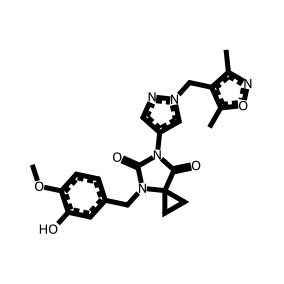 COc1ccc(CN2C(=O)N(c3cnn(Cc4c(C)noc4C)c3)C(=O)C23CC3)cc1O